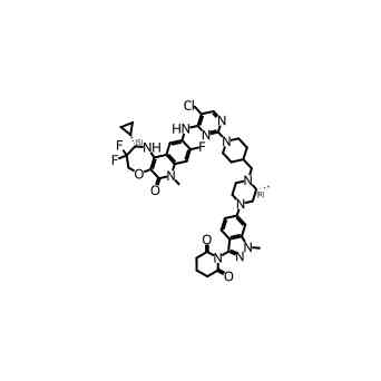 C[C@@H]1CN(c2ccc3c(N4C(=O)CCCC4=O)nn(C)c3c2)CCN1CC1CCN(c2ncc(Cl)c(Nc3cc4c5c(c(=O)n(C)c4cc3F)OCC(F)(F)[C@H](C3CC3)N5)n2)CC1